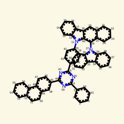 c1ccc(-c2nc(-c3ccc(-n4c5ccccc5c5cc6ccccc6c(-n6c7ccccc7c7ccccc76)c54)cc3)nc(-c3ccc4c(ccc5ccccc54)c3)n2)cc1